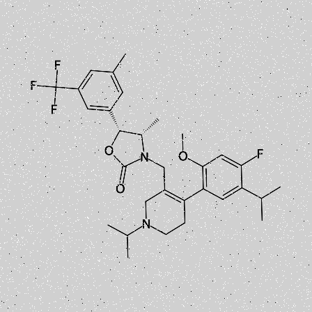 COc1cc(F)c(C(C)C)cc1C1=C(CN2C(=O)O[C@H](c3cc(C)cc(C(F)(F)F)c3)[C@@H]2C)CN(C(C)C)CC1